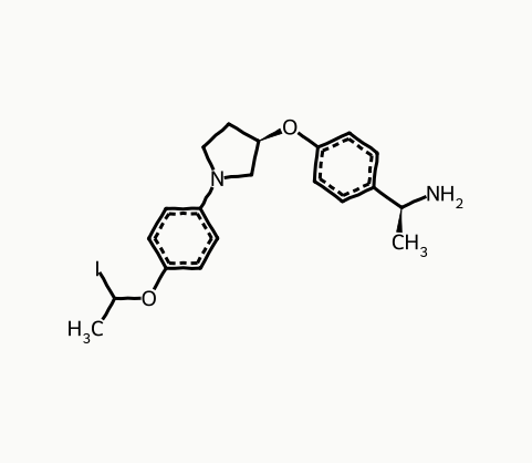 CC(I)Oc1ccc(N2CC[C@@H](Oc3ccc([C@H](C)N)cc3)C2)cc1